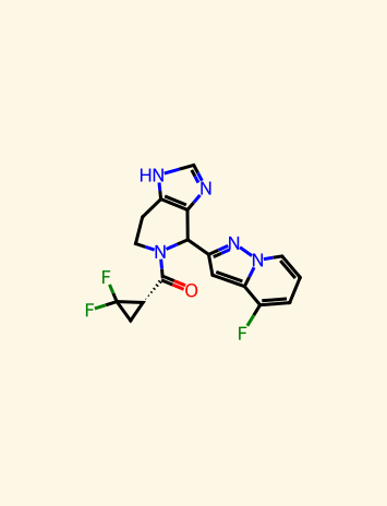 O=C([C@@H]1CC1(F)F)N1CCc2[nH]cnc2C1c1cc2c(F)cccn2n1